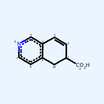 O=C(O)C1C=Cc2cnccc2C1